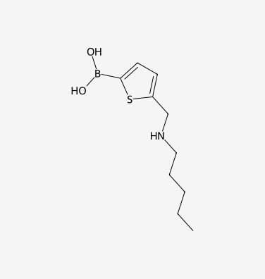 CCCCCNCc1ccc(B(O)O)s1